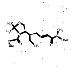 CON(C)C(=O)/C=C/C[C@@H](CC(F)(F)F)[C@@H]1COC(C)(C)N1C(=O)OC(C)(C)C